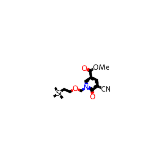 COC(=O)c1cc(C#N)c(=O)n(COCC[Si](C)(C)C)c1